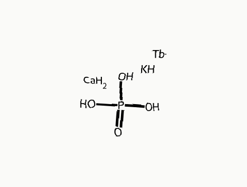 O=P(O)(O)O.[CaH2].[KH].[Tb]